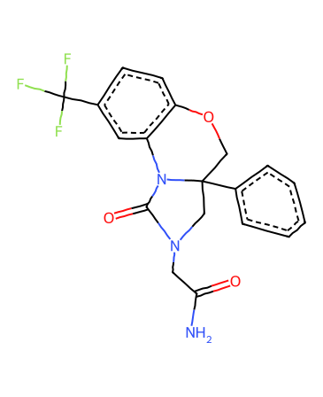 NC(=O)CN1CC2(c3ccccc3)COc3ccc(C(F)(F)F)cc3N2C1=O